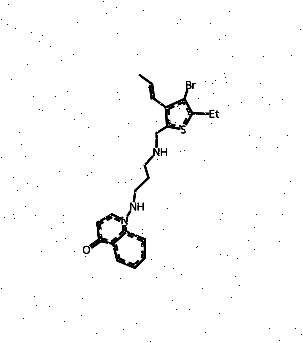 CC=Cc1c(CNCCCNn2ccc(=O)c3ccccc32)sc(CC)c1Br